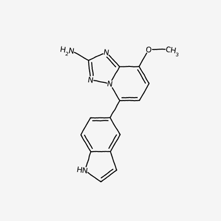 COc1ccc(-c2ccc3[nH]ccc3c2)n2nc(N)nc12